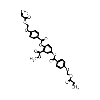 C=CC(=O)OCOc1ccc(C(=O)Oc2ccc(OC(=O)c3ccc(OCOC(=O)C=C)cc3)c(C(=O)OC)c2)cc1